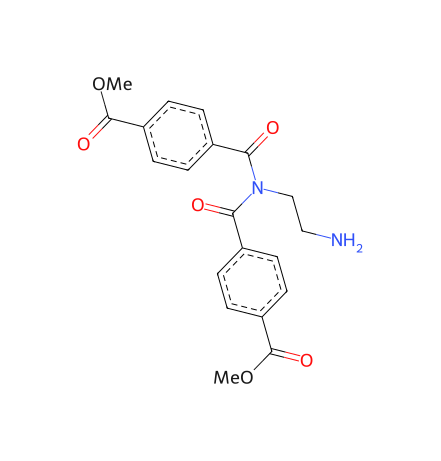 COC(=O)c1ccc(C(=O)N(CCN)C(=O)c2ccc(C(=O)OC)cc2)cc1